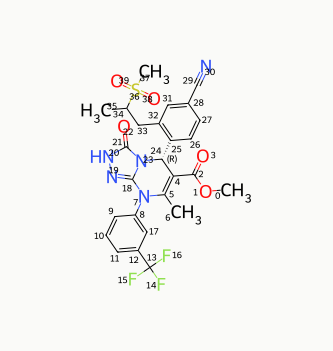 COC(=O)C1=C(C)N(c2cccc(C(F)(F)F)c2)c2n[nH]c(=O)n2[C@@H]1c1ccc(C#N)cc1CC(C)S(C)(=O)=O